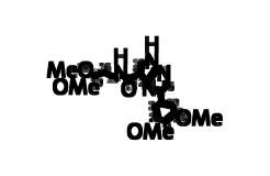 COc1ccc(-c2cnc3[nH]cc(C(=O)NCCC(OC)OC)c3n2)cc1OC